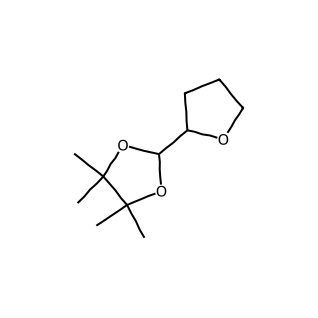 CC1(C)OC(C2CCCO2)OC1(C)C